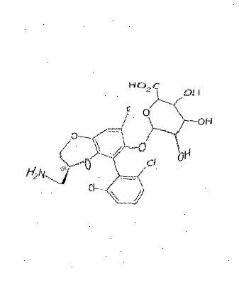 NC[C@H]1COc2cc(F)c(OC3OC(C(=O)O)C(O)C(O)C3O)c(-c3c(Cl)cccc3Cl)c2O1